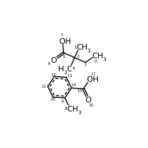 CCC(C)(C)C(=O)O.Cc1ccccc1C(=O)O